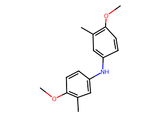 COc1ccc(Nc2ccc(OC)c(C)c2)cc1C